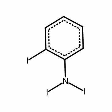 Ic1ccccc1N(I)I